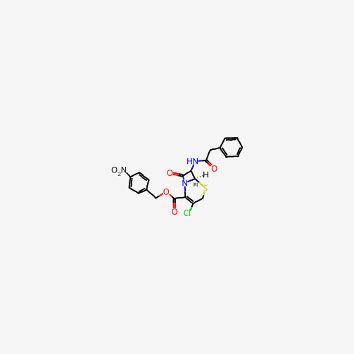 O=C(Cc1ccccc1)NC1C(=O)N2C(C(=O)OCc3ccc([N+](=O)[O-])cc3)=C(Cl)CS[C@H]12